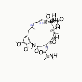 CN[C@@H](C)C(=O)/C=C1\CC(=O)N(C)c2cc(cc(OC)c2Cl)C/C(C)=C/C=C/[C@@H](OC)[C@@]2(O)C[C@H](OC(=O)N2)[C@@H](C)[C@@H]2O[C@@]12C